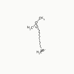 CCCCOC(CCC)COCCCCCCCCCCCCCCCC[S+](C)[O-]